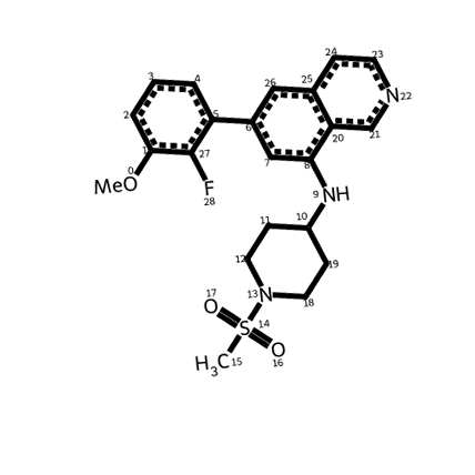 COc1cccc(-c2cc(NC3CCN(S(C)(=O)=O)CC3)c3cnccc3c2)c1F